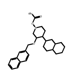 CC(C)(C)C(=O)ON1CCC(C2CCC3CCCCC3C2)C(OCc2ccc3ccccc3c2)C1